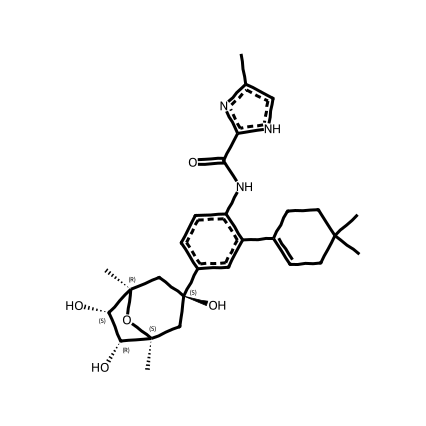 Cc1c[nH]c(C(=O)Nc2ccc([C@@]3(O)C[C@@]4(C)O[C@@](C)(C3)[C@H](O)[C@@H]4O)cc2C2=CCC(C)(C)CC2)n1